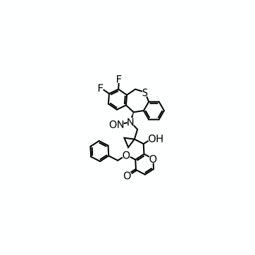 O=NN(CC1(C(O)c2occc(=O)c2OCc2ccccc2)CC1)[C@@H]1c2ccccc2SCc2c1ccc(F)c2F